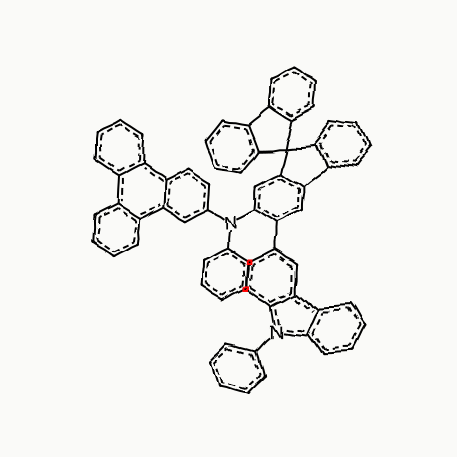 c1ccc(N(c2ccc3c4ccccc4c4ccccc4c3c2)c2cc3c(cc2-c2ccc4c(c2)c2ccccc2n4-c2ccccc2)-c2ccccc2C32c3ccccc3-c3ccccc32)cc1